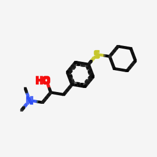 CN(C)CC(O)Cc1ccc(SC2CCCCC2)cc1